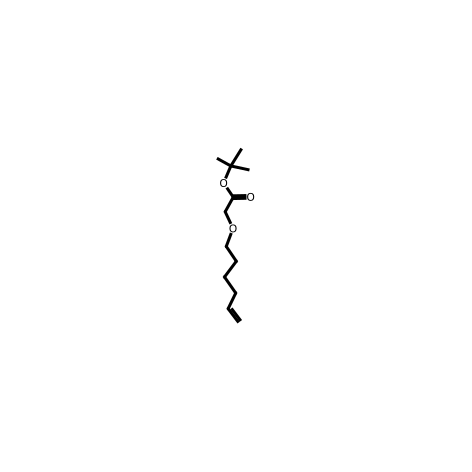 C=CCCCCOCC(=O)OC(C)(C)C